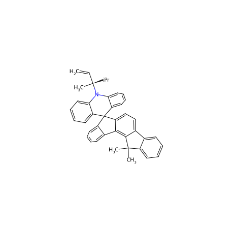 C=C[C@](C)(C(C)C)N1c2ccccc2C2(c3ccccc3-c3c2ccc2c3C(C)(C)c3ccccc3-2)c2ccccc21